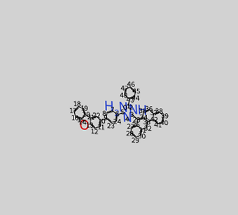 NC(N/C(=N\Cc1ccc(-c2ccc3oc4ccccc4c3c2)cc1)c1c2ccccc2cc2c1ccc1ccccc12)c1ccccc1